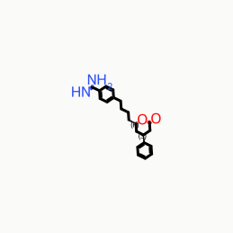 N=C(N)c1ccc(CCCC[C@@H]2C[C@H](c3ccccc3)CC(=O)O2)cc1